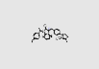 COc1cc(/C=C2/C(=O)N(C(C)c3ccc(F)cc3)c3nccnc32)ccc1-n1cnc(C)c1